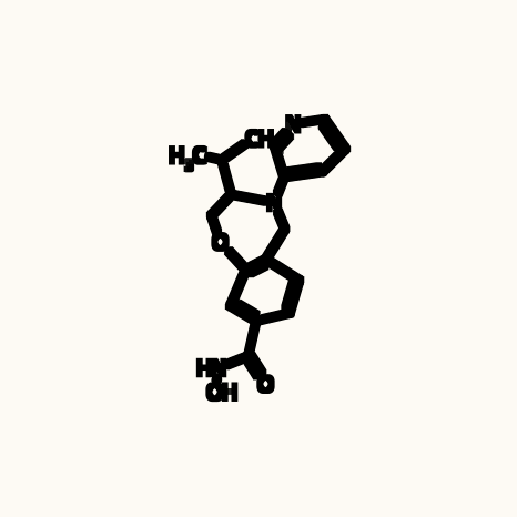 CC(C)C1COc2cc(C(=O)NO)ccc2CN1c1cccnc1